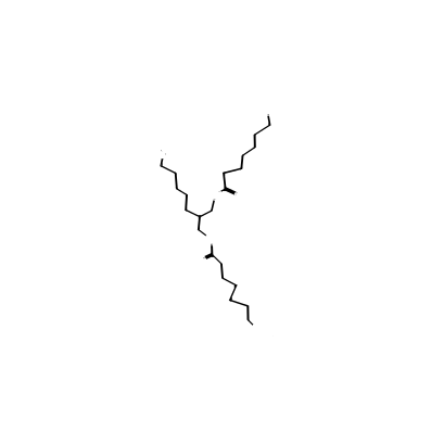 CCCCCCCC(=O)OCC(CCCCCN)COC(=O)CCCCCCC